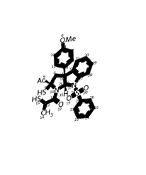 COc1ccc([C@]23C[C@](S)(C(C)=O)N(C(=O)C(C)S)[C@H]2N(S(=O)(=O)c2ccccc2)c2ccccc23)cc1